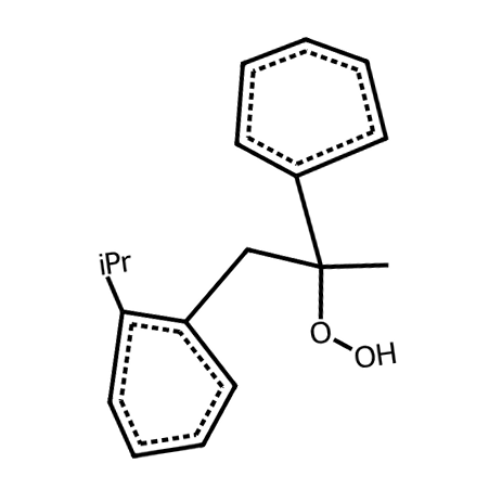 CC(C)c1ccccc1CC(C)(OO)c1ccccc1